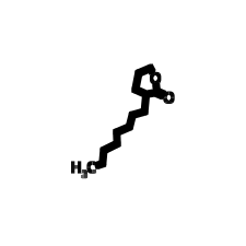 CCCCCCCCC1CCCOC1=O